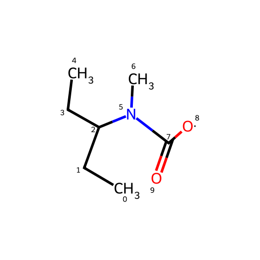 CCC(CC)N(C)C([O])=O